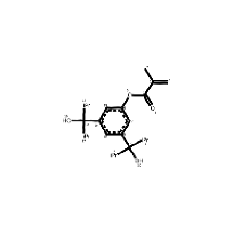 C=C(C)C(=O)Oc1cc(C(O)(C(C)C)C(C)C)cc(C(O)(C(C)C)C(C)C)c1